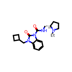 CCN1CCC[C@H]1CNC(=O)n1c(=O)n(CC2CCC2)c2ccccc21